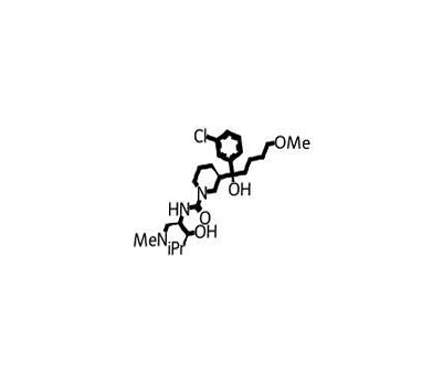 CNC[C@@H](NC(=O)N1CCC[C@@H]([C@@](O)(CCCCOC)c2cccc(Cl)c2)C1)[C@@H](O)C(C)C